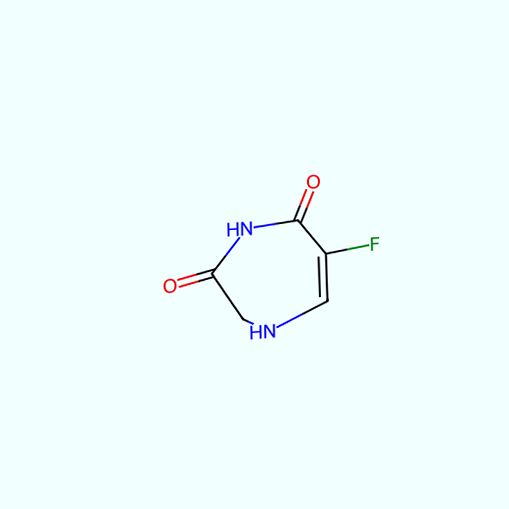 O=C1CNC=C(F)C(=O)N1